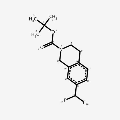 CC(C)(C)OC(=O)N1CCc2ccc(C(F)F)cc2C1